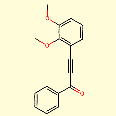 COc1cccc(C#CC(=O)c2ccccc2)c1OC